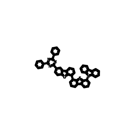 c1ccc(-c2nc(-c3ccccc3)nc(-c3ccc4oc5c(-c6cccc7c6sc6c(-n8c9ccccc9c9ccccc98)cccc67)cccc5c4c3)n2)cc1